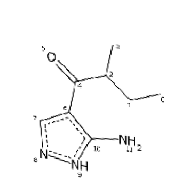 CCC(C)C(=O)c1cn[nH]c1N